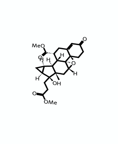 COC(=O)CC[C@]1(O)[C@H]2C[C@H]2[C@H]2[C@@H]3[C@H](C(=O)OC)CC4=CC(=O)CC[C@]4(C)[C@]34O[C@@H]4C[C@@]21C